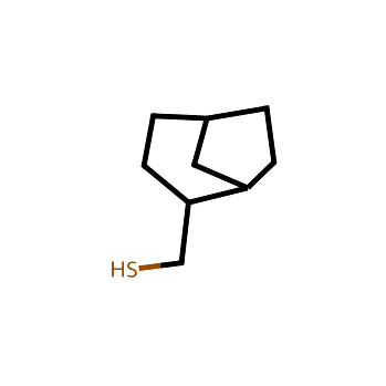 SCC1CCC2CCC1C2